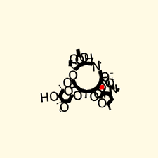 CC[C@H]1OC(=O)[C@H](C)[C@@H](O[C@H]2C[C@@](C)(OC)[C@@H](O)[C@H](C)O2)[C@H](C)[C@@H](O[C@@H]2O[C@H](C)CC(N(C)C)[C@H]2O[N+](=O)[O-])[C@](C)(O)C[C@@H](C)CN(C)[C@H](C)[C@@H](OC(C)=O)[C@]1(C)O